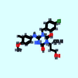 Cc1cc(/N=c2\[nH]c(=O)n([C@@H](CCO)C(=O)O)c(=O)n2Cc2ccc(Cl)cc2)ccc1OC(C)C